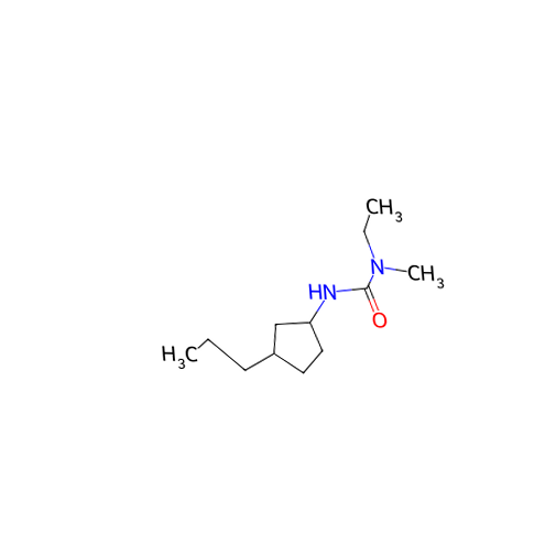 CCCC1CCC(NC(=O)N(C)CC)C1